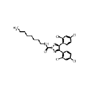 CCCCCCCCNC(=O)n1nc(-c2ccc(Cl)cc2Cl)c(-c2ccc(Cl)cc2Cl)n1